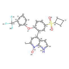 Cc1cc(-c2cc(S(=O)(=O)C3CCC3)ccc2Oc2cccc(C(F)(F)F)c2)c2cc[nH]c2[n+]1[O-]